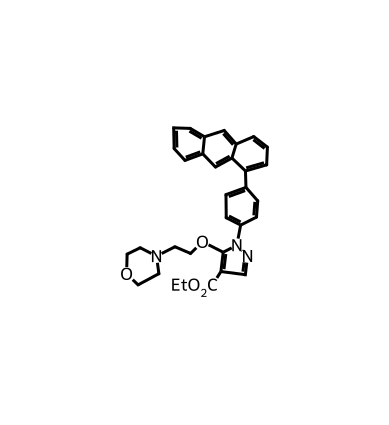 CCOC(=O)c1cnn(-c2ccc(-c3cccc4cc5ccccc5cc34)cc2)c1OCCN1CCOCC1